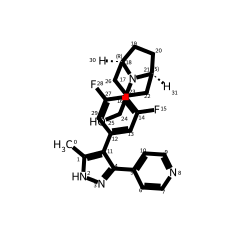 Cc1[nH]nc(-c2ccncc2)c1-c1cc(F)c(N2[C@@H]3CC[C@H]2CC(CO)C3)c(F)c1